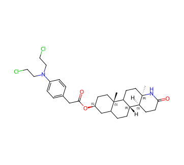 C[C@]12CC[C@H](OC(=O)Cc3ccc(N(CCCl)CCCl)cc3)CC1CC[C@@H]1C2CC[C@@]2(C)NC(=O)CC[C@@H]12